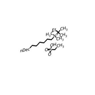 CCCCCCCCCCCCCCCC[N+](C)(C)C(C)(C)CC.CCS(=O)(=O)O